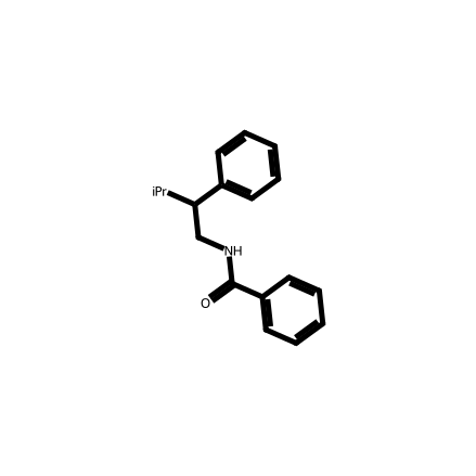 CC(C)C(CNC(=O)c1ccccc1)c1ccccc1